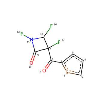 O=C(c1cccs1)C1(F)C(=O)N(F)C1F